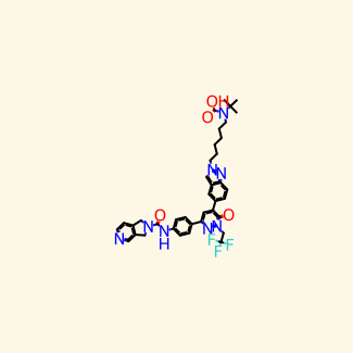 CC(C)(C)N(CCCCCCn1cc2cc(-c3cc(-c4ccc(NC(=O)N5Cc6ccncc6C5)cc4)nn(CC(F)(F)F)c3=O)ccc2n1)C(=O)O